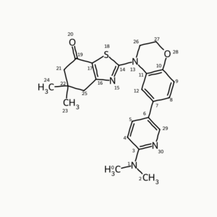 CN(C)c1ccc(-c2ccc3c(c2)N(c2nc4c(s2)C(=O)CC(C)(C)C4)CCO3)cn1